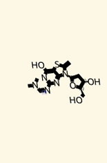 C=C1Sc2c(O)nc(/N=C\N(C)C)nc2N1[C@H]1C[C@H](O)[C@@H](CO)O1